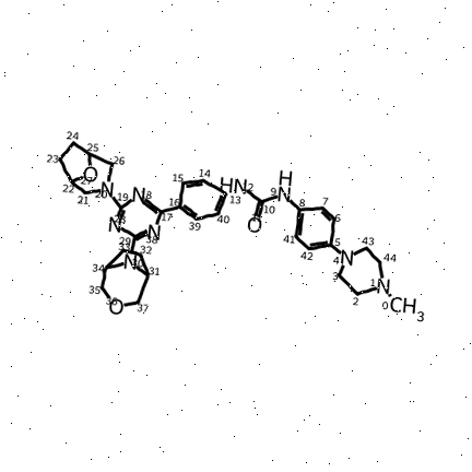 CN1CCN(c2ccc(NC(=O)Nc3ccc(-c4nc(N5CC6CCC(C5)O6)nc(N5C6CCC5COC6)n4)cc3)cc2)CC1